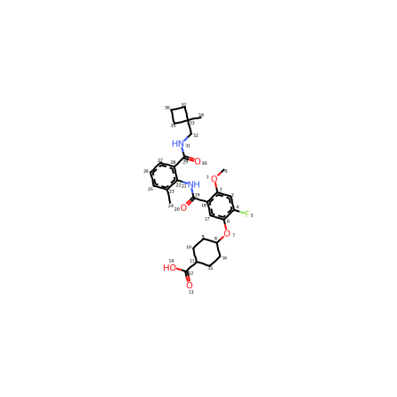 COc1cc(F)c(OC2CCC(C(=O)O)CC2)cc1C(=O)Nc1c(C)cccc1C(=O)NCC1(C)CCC1